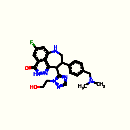 CN(C)Cc1ccc(C2CNc3cc(F)cc4c(=O)[nH]nc(c34)C2c2ncnn2CCO)cc1